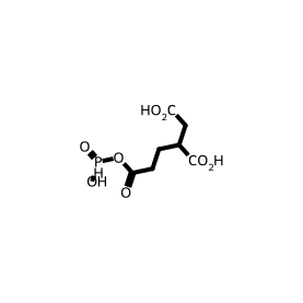 O=C(O)CC(CCC(=O)O[PH](=O)O)C(=O)O